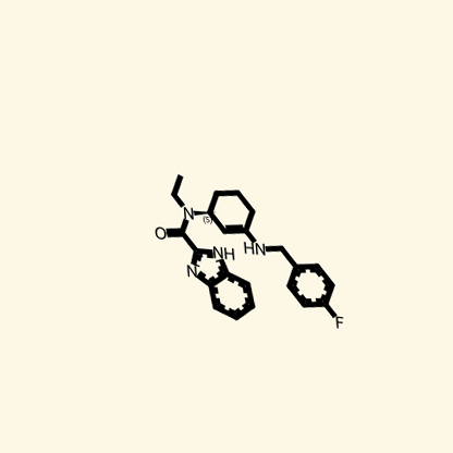 CCN(C(=O)c1nc2ccccc2[nH]1)[C@@H]1C=C(NCc2ccc(F)cc2)CCC1